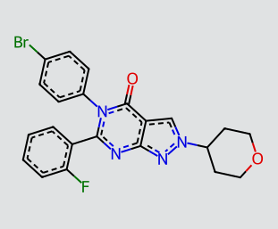 O=c1c2cn(C3CCOCC3)nc2nc(-c2ccccc2F)n1-c1ccc(Br)cc1